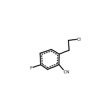 N#Cc1cc(F)ccc1CCCl